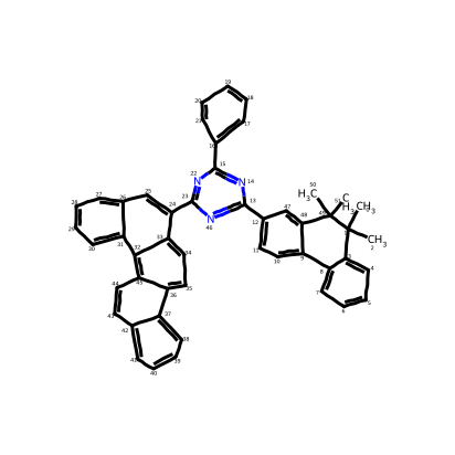 CC1(C)c2ccccc2-c2ccc(-c3nc(-c4ccccc4)nc(-c4cc5ccccc5c5c4ccc4c6ccccc6ccc45)n3)cc2C1(C)C